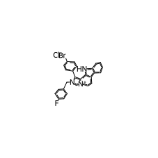 Fc1ccc(Cn2c[n+]3ccc4c5ccccc5[nH]c4c3c2-c2ccc(Br)cc2)cc1.[Cl-]